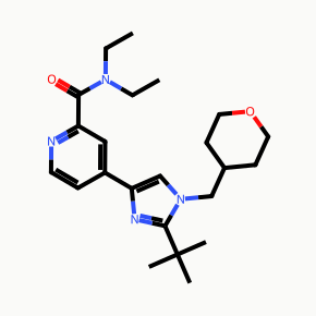 CCN(CC)C(=O)c1cc(-c2cn(CC3CCOCC3)c(C(C)(C)C)n2)ccn1